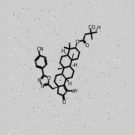 CC(C)C1=C2[C@H]3CC[C@@H]4[C@@]5(C)CC[C@H](OC(=O)CC(C)(C)C(=O)O)C(C)(C)[C@@H]5CC[C@@]4(C)[C@]3(C)CC[C@@]2(Cc2nnc(-c3ccc(C#N)cc3)o2)CC1=O